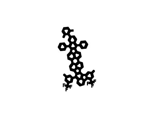 Cc1cc(-c2c3cccc4c5c(C(F)(F)F)cc(C)cc5c(c34)c3c4ccc5c6ccc7c8c(ccc(c9ccc(c23)c4c95)c86)-c2c-7c(-c3ccccc3)c3ccc(-c4c(C)cccc4C)cc3c2-c2ccccc2)cc(C(F)(F)F)c1